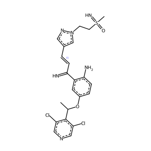 CC(Oc1ccc(N)c(C(=N)/C=C/c2cnn(CCS(C)(=N)=O)c2)c1)c1c(Cl)cncc1Cl